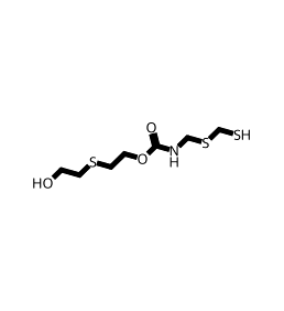 O=C(NCSCS)OCCSCCO